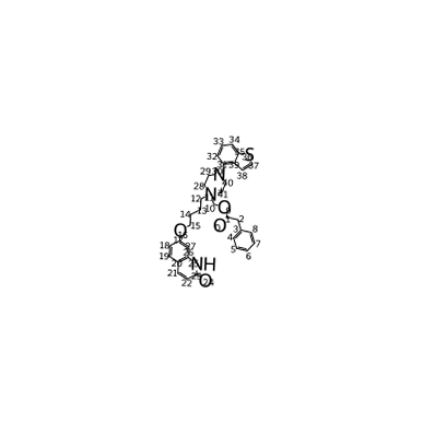 O=C(Cc1ccccc1)OC[N+]1(CCCCOc2ccc3ccc(=O)[nH]c3c2)CCN(c2cccc3sccc23)CC1